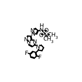 CN(C)S(=O)(=O)Nc1cnn(-c2cnn3ccc(N4CCCC4c4cc(F)ccc4F)nc23)c1